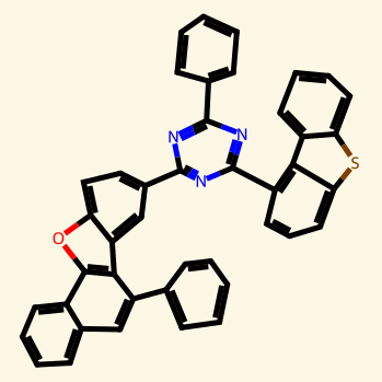 c1ccc(-c2nc(-c3ccc4oc5c6ccccc6cc(-c6ccccc6)c5c4c3)nc(-c3cccc4sc5ccccc5c34)n2)cc1